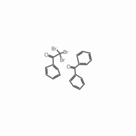 O=C(c1ccccc1)C(Br)(Br)Br.O=C(c1ccccc1)c1ccccc1